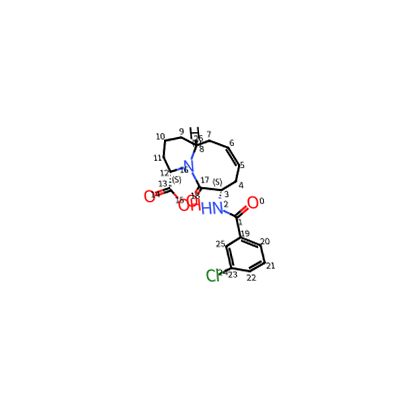 O=C(N[C@H]1CC=CC[C@H]2CCC[C@@H](C(=O)O)N2C1=O)c1cccc(Cl)c1